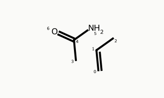 C=CC.CC(N)=O